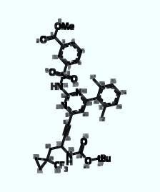 COC(=O)c1cccc(S(=O)(=O)Nc2nc(C#CC(CC3(C(F)(F)F)CC3)NC(=O)OC(C)(C)C)cc(-c3c(C)cccc3C)n2)c1